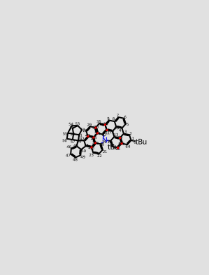 CC(C)(C)c1cc(-c2cccc3cccc(-c4ccccc4N(c4ccccc4-c4ccccc4)c4ccccc4-c4ccc5c(c4)C4(c6ccccc6-5)C5CC6CC7CC4C75C6)c23)cc(C(C)(C)C)c1